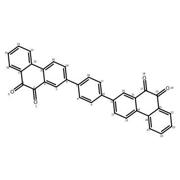 O=C1C(=O)c2cc(-c3ccc(-c4ccc5c(c4)C(=O)C(=O)c4ccccc4-5)cc3)ccc2-c2ccccc21